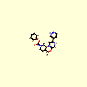 C[C@H](Oc1cnc(-c2ccnnc2)cn1)C1CCN(C(=O)Oc2ccccc2)CC1